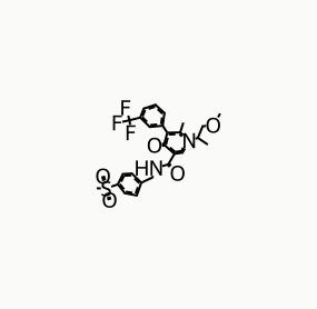 COCC(C)n1cc(C(=O)NCc2ccc(S(C)(=O)=O)cc2)c(=O)c(-c2cccc(C(F)(F)F)c2)c1C